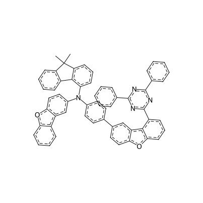 CC1(C)c2ccccc2-c2c(N(c3ccc(-c4ccc5oc6cccc(-c7nc(-c8ccccc8)nc(-c8ccccc8)n7)c6c5c4)cc3)c3ccc4oc5ccccc5c4c3)cccc21